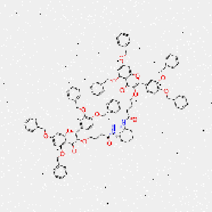 O=C(CCCOc1c(-c2ccc(OCc3ccccc3)c(OCc3ccccc3)c2)oc2cc(OCc3ccccc3)cc(OCc3ccccc3)c2c1=O)/N=C1\CCCC[C@@H]1NC(=O)CCCOc1c(-c2ccc(OCc3ccccc3)c(OCc3ccccc3)c2)oc2cc(OCc3ccccc3)cc(OCc3ccccc3)c2c1=O